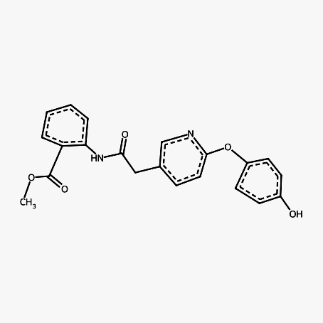 COC(=O)c1ccccc1NC(=O)Cc1ccc(Oc2ccc(O)cc2)nc1